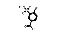 CC(C)c1ccc(C(=O)Cl)cc1S(N)(=O)=O